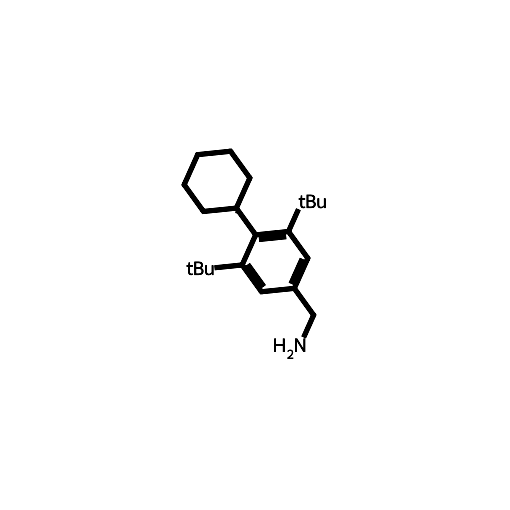 CC(C)(C)c1cc(CN)cc(C(C)(C)C)c1[C]1CCCCC1